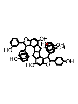 Oc1ccc(C2Oc3cc(O)c4c(c3C2c2cc(O)cc(O)c2)C2C(c3c5c(cc(O)c3[C@@H]2c2ccc(O)cc2)OC(c2cccc(O)c2)C5c2ccccc2)[C@H]4c2ccc(O)cc2)cc1